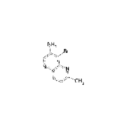 Cc1ccc2ncc(N)c(Br)c2n1